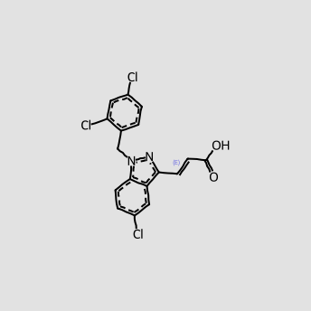 O=C(O)/C=C/c1nn(Cc2ccc(Cl)cc2Cl)c2ccc(Cl)cc12